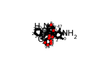 Cc1cc(C)c(-c2ccccc2P(=O)(C(=O)P(=O)(c2ccccc2)c2ccccc2-c2c(C)cc(C)c(N)c2C)c2ccccc2)c(C)c1N